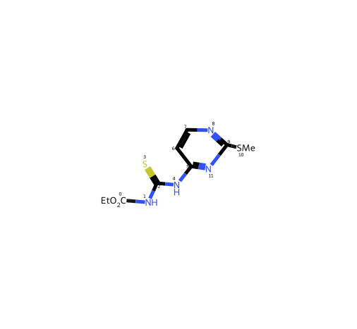 CCOC(=O)NC(=S)Nc1ccnc(SC)n1